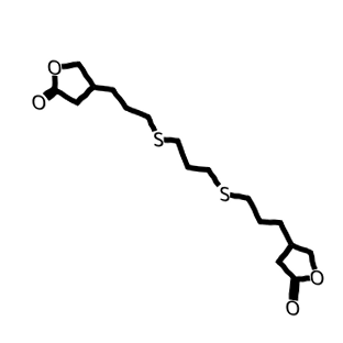 O=C1CC(CCCSCCCSCCCC2COC(=O)C2)CO1